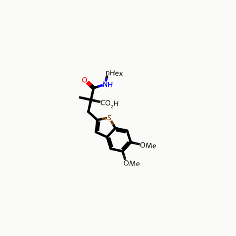 CCCCCCNC(=O)C(C)(Cc1cc2cc(OC)c(OC)cc2s1)C(=O)O